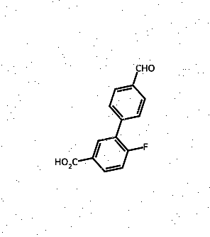 O=Cc1ccc(-c2cc(C(=O)O)ccc2F)cc1